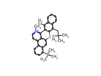 Cc1c2c(c(CC(C)(C)C)c3ccccc13)Sc1cc3c([Si](C)(C)C)cccc3c3cc[n+](C)c-2c13